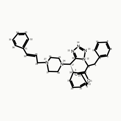 COC(=O)C(Cc1ccccc1)n1nnnc1[C@H](C1C=CC=CC1)N1CCN(C/C=C/c2ccccc2)CC1